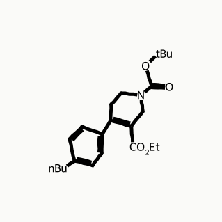 CCCCc1ccc(C2=C(C(=O)OCC)CN(C(=O)OC(C)(C)C)CC2)cc1